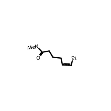 CC/C=C\CCCC(=O)NC